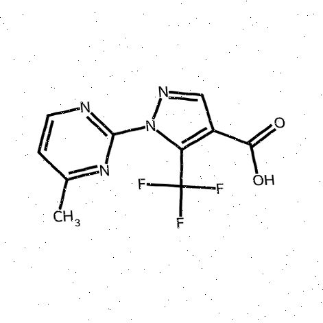 Cc1ccnc(-n2ncc(C(=O)O)c2C(F)(F)F)n1